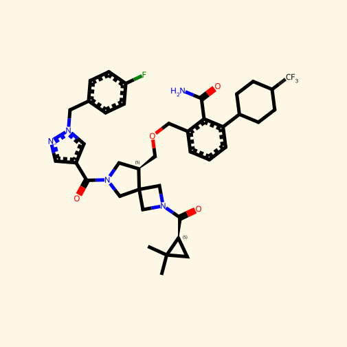 CC1(C)C[C@@H]1C(=O)N1CC2(CN(C(=O)c3cnn(Cc4ccc(F)cc4)c3)C[C@H]2COCc2cccc(C3CCC(C(F)(F)F)CC3)c2C(N)=O)C1